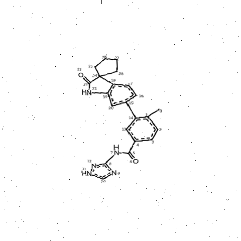 Cc1ccc(C(=O)Nc2nc[nH]n2)cc1-c1ccc2c(c1)NC(=O)C21CCCC1